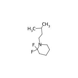 CC(C)CCN1CCCCC1(F)F